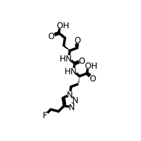 O=C[C@H](CCC(=O)O)NC(=O)N[C@@H](CCn1cc(CCF)nn1)C(=O)O